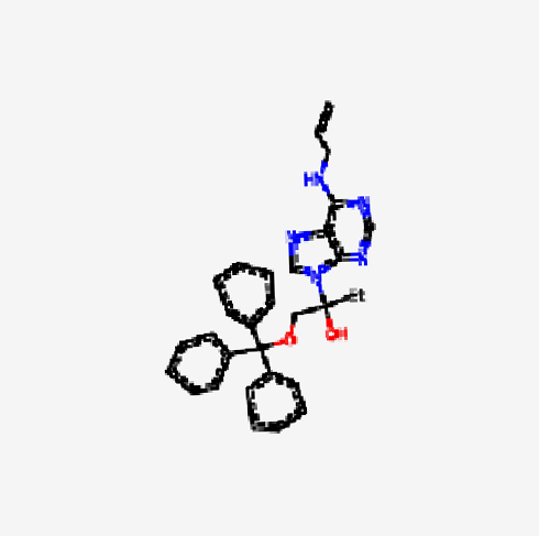 C=CCNc1ncnc2c1ncn2C(O)(CC)COC(c1ccccc1)(c1ccccc1)c1ccccc1